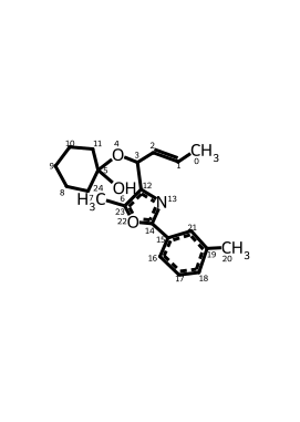 CC=CC(OC1(O)CCCCC1)c1nc(-c2cccc(C)c2)oc1C